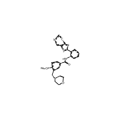 COc1ccc(C(=O)Nc2ccccc2-c2nc3ccncc3s2)cc1CN1CCOCC1